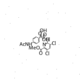 CC(=O)Nc1ccc([As](=O)(O)OO)cc1.COC(=O)c1nc(Cl)c(Cl)cc1Cl